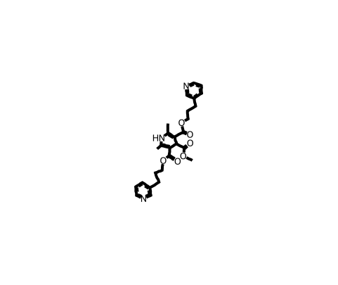 COC(=O)C1C(C(=O)OCCCc2cccnc2)=C(C)NC(C)=C1C(=O)OCCCc1cccnc1